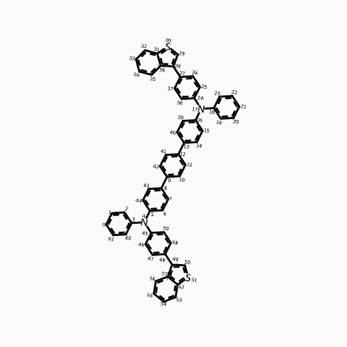 c1ccc(N(c2ccc(-c3ccc(-c4ccc(N(c5ccccc5)c5ccc(-c6csc7ccccc67)cc5)cc4)cc3)cc2)c2ccc(-c3csc4ccccc34)cc2)cc1